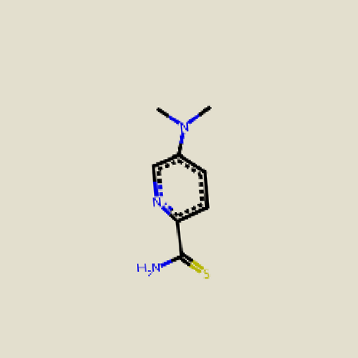 CN(C)c1ccc(C(N)=S)nc1